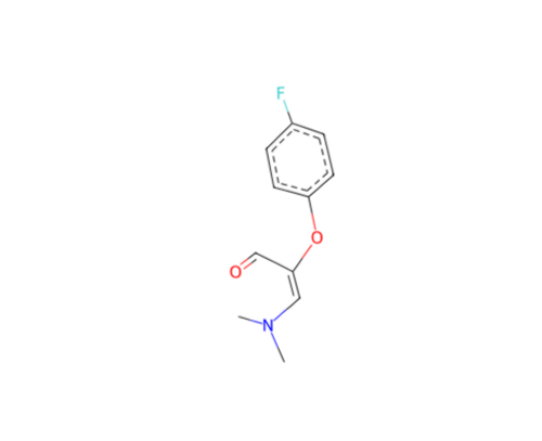 CN(C)/C=C(\C=O)Oc1ccc(F)cc1